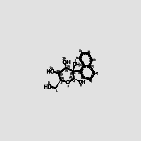 OC[C@H]1O[C@@H](O)[C@@](O)(c2cccc3ccccc23)[C@@H](O)[C@@H]1O